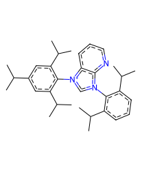 CC(C)c1cc(C(C)C)c(-[n+]2cn(-c3c(C(C)C)cccc3C(C)C)c3ncccc32)c(C(C)C)c1